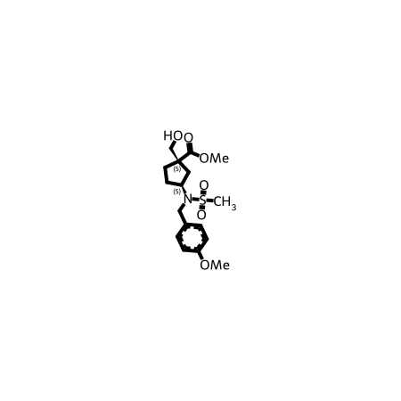 COC(=O)[C@@]1(CO)CC[C@H](N(Cc2ccc(OC)cc2)S(C)(=O)=O)C1